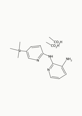 CC(=O)O.CC(=O)O.C[Si](C)(C)c1ccc(Nc2ncccc2N)nc1